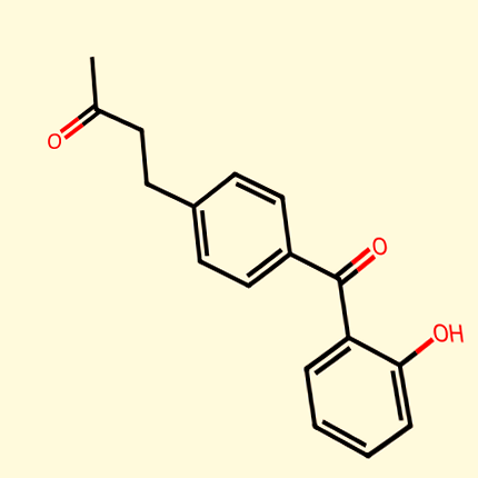 CC(=O)CCc1ccc(C(=O)c2ccccc2O)cc1